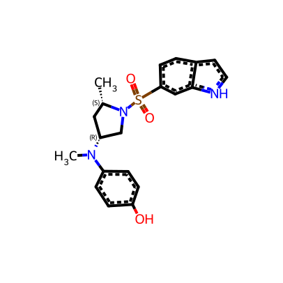 C[C@H]1C[C@@H](N(C)c2ccc(O)cc2)CN1S(=O)(=O)c1ccc2cc[nH]c2c1